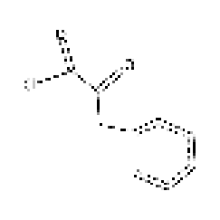 O=C(Cl)C(=O)Cc1ccccc1